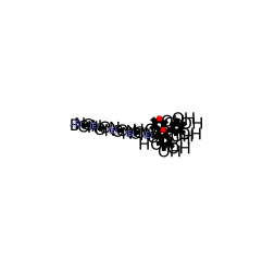 C/B=N/OO/N=N/OO/N=N/OO/N=N/OO/N=N/Oc1c2c(O)c(C)c(C)c(O)c2c(-c2c(O)c(O)c(O)c(O)c2O)c2c(O)c(O)c(O)c(O)c12